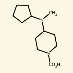 CN(C1CCCC1)C1CCN(C(=O)O)CC1